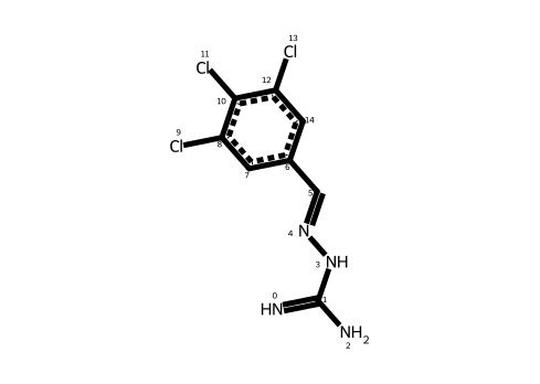 N=C(N)NN=Cc1cc(Cl)c(Cl)c(Cl)c1